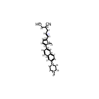 CN1CCN(c2ccc3cc(-c4ccc(/C=C/CC(C#N)CO)n4C)ccc3c2)CC1